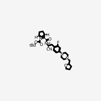 CC(C)(C)OC(=O)N1[C@@H]2CC[C@@H](C2)[C@H]1C(=O)N[C@H](C#N)Cc1ccc(N2CCN(CC3CCCO3)CC2)cc1F